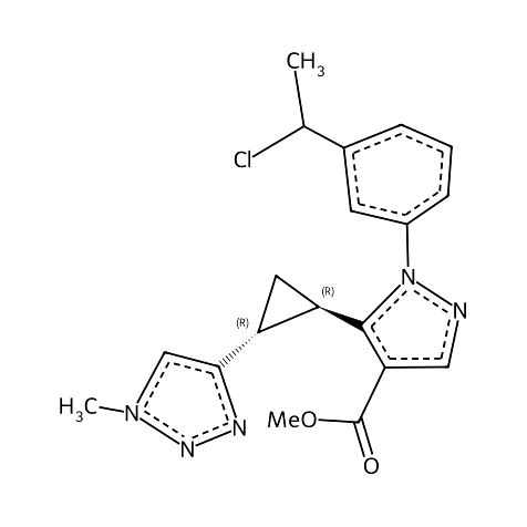 COC(=O)c1cnn(-c2cccc(C(C)Cl)c2)c1[C@@H]1C[C@H]1c1cn(C)nn1